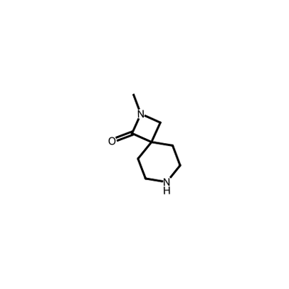 CN1CC2(CCNCC2)C1=O